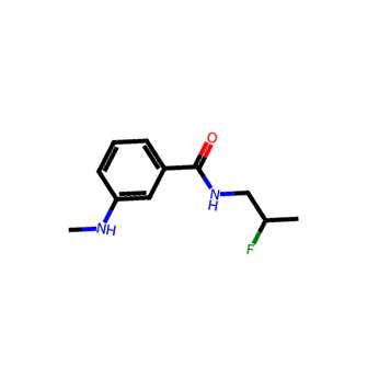 CNc1cccc(C(=O)NCC(C)F)c1